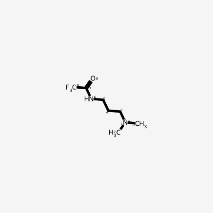 C[N+](C)CCCNC(=O)C(F)(F)F